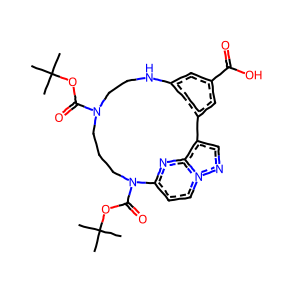 CC(C)(C)OC(=O)N1CCCN(C(=O)OC(C)(C)C)c2ccn3ncc(c3n2)-c2cc(cc(C(=O)O)c2)NCC1